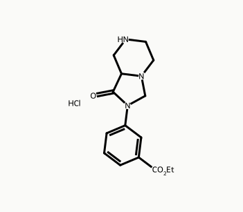 CCOC(=O)c1cccc(N2CN3CCNCC3C2=O)c1.Cl